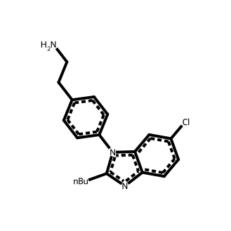 CCCCc1nc2ccc(Cl)cc2n1-c1ccc(CCN)cc1